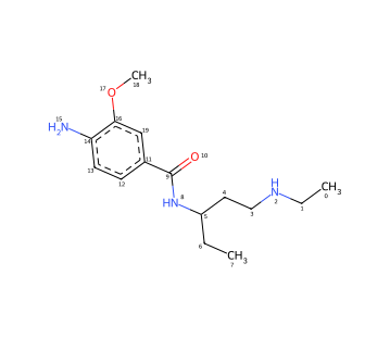 CCNCCC(CC)NC(=O)c1ccc(N)c(OC)c1